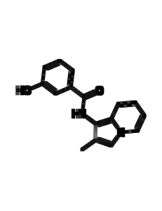 Cc1cn2ccccc2c1NC(=O)c1cccc(O)c1